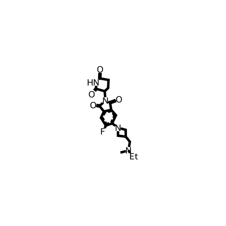 CCN(C)CC1CN(c2cc3c(cc2F)C(=O)N(C2CCC(=O)NC2=O)C3=O)C1